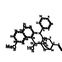 C=CC1C[N+]2(Cc3ccccc3)CCC1CC2[C@@H](O)c1ccnc2ccc(OC)cc12